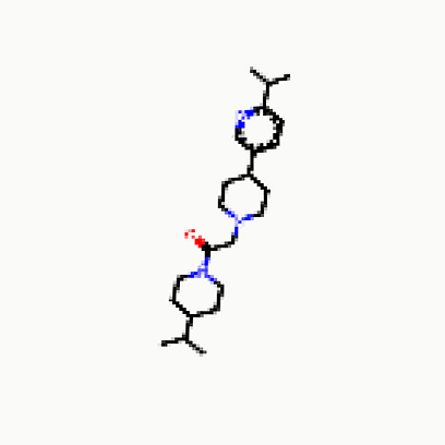 CC(C)c1ccc(C2CCN(CC(=O)N3CCC(C(C)C)CC3)CC2)cn1